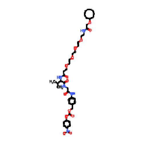 CC(C)C(NC(=O)CCOCCOCCOCCOCCNC(=O)COC1CCCCCCC1)C(=O)NCC(=O)Nc1ccc(COC(=O)Oc2ccc([N+](=O)[O-])cc2)cc1